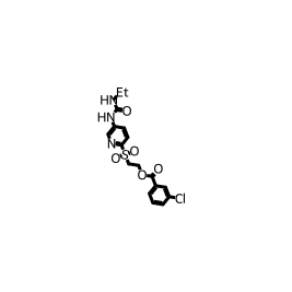 CCNC(=O)Nc1ccc(S(=O)(=O)CCOC(=O)c2cccc(Cl)c2)nc1